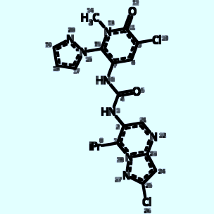 CC(C)c1c(NC(=O)Nc2cc(Cl)c(=O)n(C)c2-n2cccn2)cnc2cc(Cl)nn12